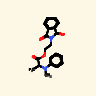 CC(C(=O)OCCN1C(=O)c2ccccc2C1=O)N(C)c1ccccc1